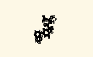 Cc1cc(-c2cccc3ncoc23)nc2c(C(=O)NC(C3CC3)C(F)(F)F)ncn12